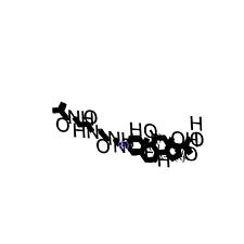 C=C(C)C(=O)NCC(=O)NCC(=O)N/N=C1\C=CC2(C)C(=C1)CCC1[C@@H]3C[C@@H](C)[C@](O)(C(=O)CO)C3(C)C[C@H](O)[C@@]12F